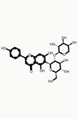 O=c1cc(-c2ccc(O)cc2)oc2cc(O)c([C@@H]3O[C@H](CO)[C@@H](O)[C@H](O)[C@H]3O[C@@H]3OC[C@H](O)[C@H](O)[C@H]3O)c(O)c12